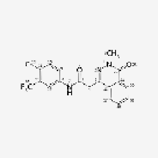 Cn1nc(CC(=O)Nc2ccc(Cl)c(C(F)(F)F)c2)c2ccccc2c1=O